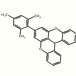 Cc1cc(C)c(-c2cc3c4c(c2)Oc2ccccc2B4c2ccccc2O3)c(C)c1